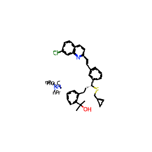 CC(=O)O.CC(C)(O)c1ccccc1CC[C@@H](SCC1CC1)c1cccc(C=Cc2ccc3ccc(Cl)cc3n2)c1.CCCNCCC